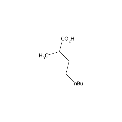 CCCCCCC(C)C(=O)O